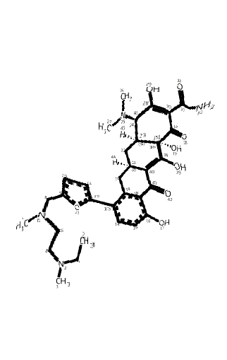 CCN(C)CCN(C)Cc1ccc(-c2ccc(O)c3c2C[C@H]2C[C@H]4[C@@H](N(C)C)C(O)=C(C(N)=O)C(=O)[C@@]4(O)C(O)=C2C3=O)o1